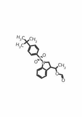 CC(OC=O)C1CN(S(=O)(=O)c2ccc(C(C)(C)C)cc2)c2ccccc21